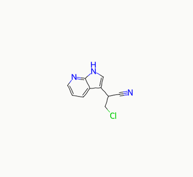 N#CC(CCl)c1c[nH]c2ncccc12